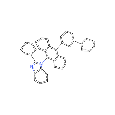 c1ccc(-c2cccc(-c3c4ccccc4c(-n4c(-c5ccccc5)nc5ccccc54)c4ccccc34)c2)cc1